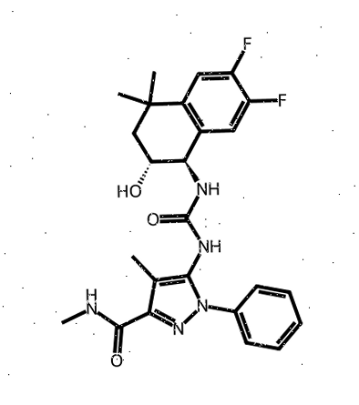 CNC(=O)c1nn(-c2ccccc2)c(NC(=O)N[C@@H]2c3cc(F)c(F)cc3C(C)(C)C[C@H]2O)c1C